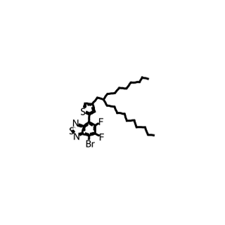 CCCCCCCCCCC(CCCCCCCC)Cc1csc(-c2c(F)c(F)c(Br)c3nsnc23)c1